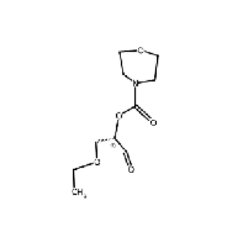 CCOC[C@@H](C=O)OC(=O)N1CCOCC1